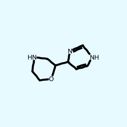 C1=C[C](C2CNCCO2)N=CN1